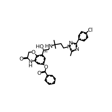 Cc1nc(-c2ccc(Cl)cc2)nn1CCC(C)(C)NC[C@H](O)c1cc(OC(=O)c2ccccc2)cc2c1OCC(=O)N2